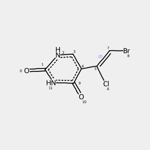 O=c1[nH]cc(/C(Cl)=C/Br)c(=O)[nH]1